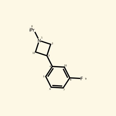 CC(C)N1CC(c2cccc(F)c2)C1